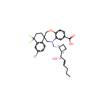 CCC/C=C/[C@H](O)[C@@H]1CC[C@H]1CN1CC2(CCC(F)(F)c3cc(Cl)ccc32)COc2ccc(C(=O)O)cc21